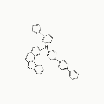 c1ccc(-c2ccc(-c3ccc(N(c4cccc(-c5ccccc5)c4)c4ccc5ccc6sc7ccccc7c6c5c4)cc3)cc2)cc1